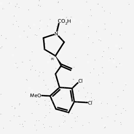 C=C(Cc1c(OC)ccc(Cl)c1Cl)[C@H]1CCN(C(=O)O)C1